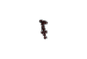 c1ccc(-c2ccc(-c3c4ccccc4c(-c4ccc(-c5ccc(-c6ccc7c(c6)c6c8ccccc8ccc6n7-c6ccccc6)cc5)nc4)c4ccccc34)cc2)cc1